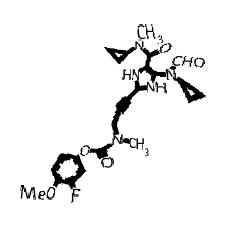 COc1ccc(OC(=O)N(C)CC#CC2NC(C(=O)N(C)C3CC3)=C(N(C=O)C3CC3)N2)cc1F